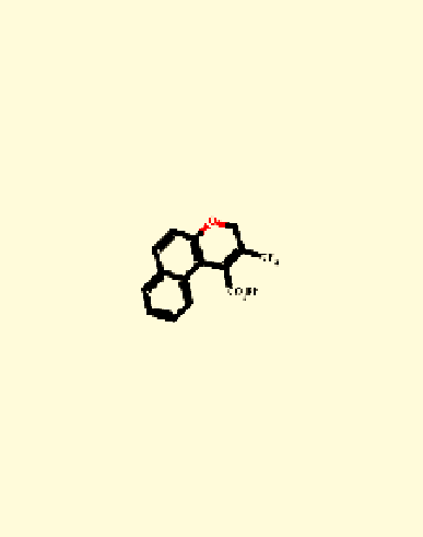 CCOC(=O)C1=C(C(F)(F)F)COc2ccc3ccccc3c21